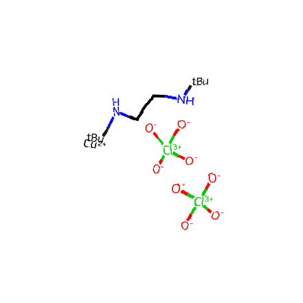 CC(C)(C)NCCNC(C)(C)C.[Cu+2].[O-][Cl+3]([O-])([O-])[O-].[O-][Cl+3]([O-])([O-])[O-]